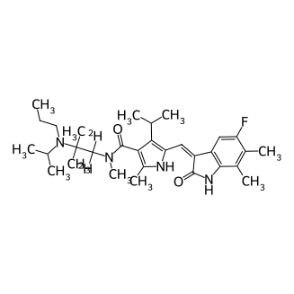 [2H]C([2H])(N(C)C(=O)c1c(C)[nH]c(/C=C2\C(=O)Nc3c2cc(F)c(C)c3C)c1C(C)C)C(C)(C)N(CCC)C(C)C